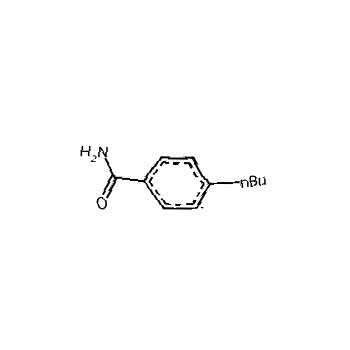 CCCCc1[c]cc(C(N)=O)cc1